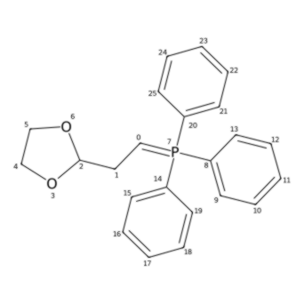 C(CC1OCCO1)=P(c1ccccc1)(c1ccccc1)c1ccccc1